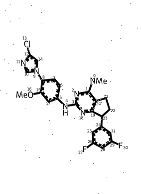 CNc1nc(Nc2ccc(-n3cnc(Cl)c3)c(OC)c2)nc2c1CCC2c1cc(F)cc(F)c1